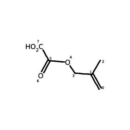 C=C(C)COC(=O)C(=O)O